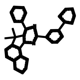 CC1(C)c2ccc3ccccc3c2-c2nc(-c3cccc(-c4ccccc4)c3)nc(-c3ccccc3)c21